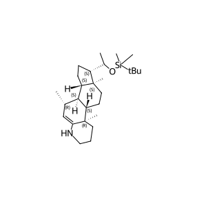 CC(O[Si](C)(C)C(C)(C)C)[C@H]1CC[C@H]2[C@@H]3[C@@H](C)C=C4NCCC[C@]4(C)[C@H]3CC[C@]12C